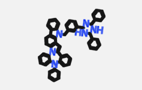 c1ccc(C2N=C(c3cccc(Cn4c5ccccc5c5ccc6c(cc7n6-c6ccccc6N(c6ccccc6)c6ccccc6-7)c54)c3)NC(c3ccccc3)N2)cc1